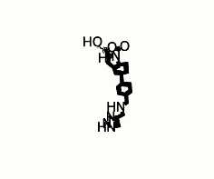 O=C1O[C@@H](CO)[C@@H]2Cc3cc(-c4ccc(CNCc5c[nH]nn5)cc4)ccc3N12